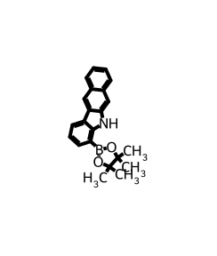 CC1(C)OB(c2cccc3c2[nH]c2cc4ccccc4cc23)OC1(C)C